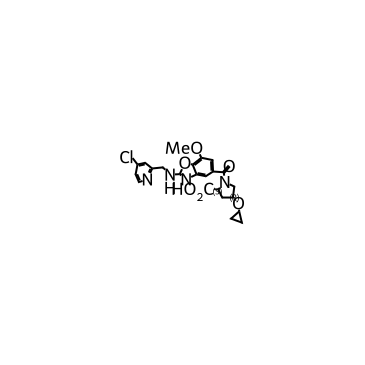 COc1cc(C(=O)N2C[C@H](OC3CC3)C[C@H]2C(=O)O)cc2nc(NCc3cc(Cl)ccn3)oc12